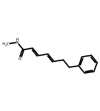 CNC(=O)/C=C/C=C/CCc1ccccc1